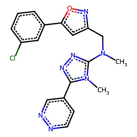 CN(Cc1cc(-c2cccc(Cl)c2)on1)c1nnc(-c2ccnnc2)n1C